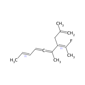 C=C(C)C/C(C(C)=C=C/C=C/C)=C(/C)F